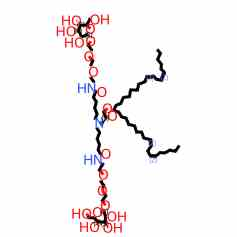 CCCCC/C=C\C/C=C\CCCCCCCCC1(CCCCCCCC/C=C\C/C=C\CCCCC)OC[C@H](CN(CCCCCC(=O)NCCOCCOCCO[C@H]2OC(CO)[C@@H](O)[C@H](O)C2O)CCCCCC(=O)NCCOCCOCCO[C@H]2OC(CO)[C@@H](O)[C@H](O)C2O)O1